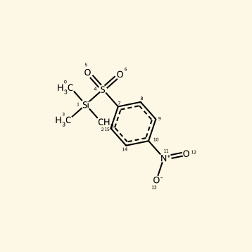 C[Si](C)(C)S(=O)(=O)c1ccc([N+](=O)[O-])cc1